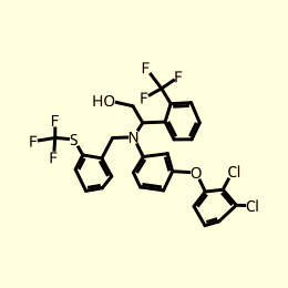 OCC(c1ccccc1C(F)(F)F)N(Cc1ccccc1SC(F)(F)F)c1cccc(Oc2cccc(Cl)c2Cl)c1